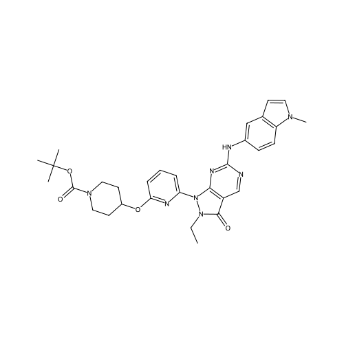 CCn1c(=O)c2cnc(Nc3ccc4c(ccn4C)c3)nc2n1-c1cccc(OC2CCN(C(=O)OC(C)(C)C)CC2)n1